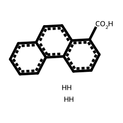 O=C(O)c1cccc2c1ccc1ccccc12.[HH].[HH]